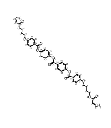 C=CC(=O)OCCCCOc1ccc(C(=O)Oc2ccc(C(=O)OC3=CC=C(OC(=O)c4ccc(OCCCOC(=O)C=C)cc4)CC3)cc2)cc1